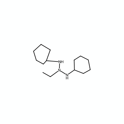 CCN(NC1CCCCC1)NC1CCCCC1